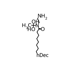 CCCCCCCCCCCCCCCCCC(=O)N(CCN)C(C)(O)O